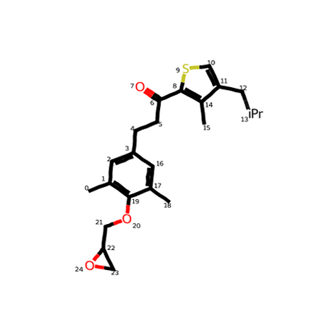 Cc1cc(CCC(=O)c2scc(CC(C)C)c2C)cc(C)c1OCC1CO1